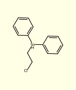 ClC[CH2][SnH]([c]1ccccc1)[c]1ccccc1